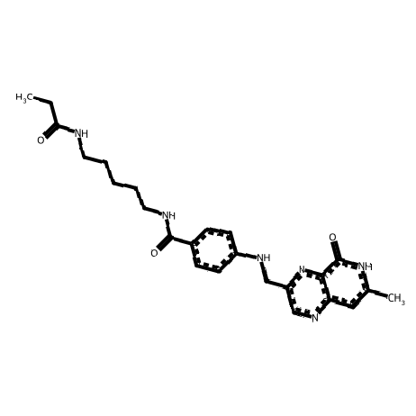 CCC(=O)NCCCCCNC(=O)c1ccc(NCc2cnc3cc(C)[nH]c(=O)c3n2)cc1